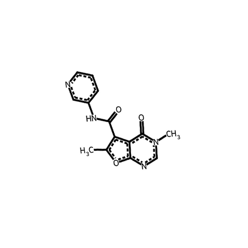 Cc1oc2ncn(C)c(=O)c2c1C(=O)Nc1cccnc1